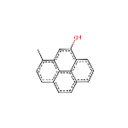 Cc1ccc2ccc3cccc4c(O)cc1c2c34